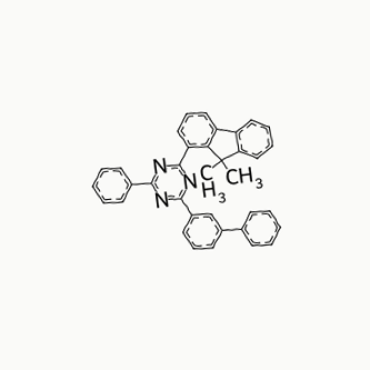 CC1(C)c2ccccc2-c2cccc(-c3nc(-c4ccccc4)nc(-c4cccc(-c5ccccc5)c4)n3)c21